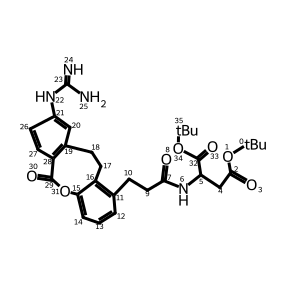 CC(C)(C)OC(=O)CC(NC(=O)CCc1cccc2c1CCc1cc(NC(=N)N)ccc1C(=O)O2)C(=O)OC(C)(C)C